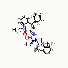 CC(C)c1cccc(C(C)C)c1NC(=O)N[C@@H](C)C(=O)N[C@H]1N=C(c2ccccc2)c2ccccc2N(C)C1=O